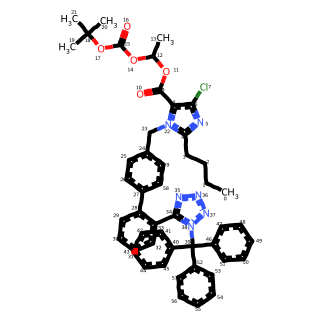 CCCCc1nc(Cl)c(C(=O)OC(C)OC(=O)OC(C)(C)C)n1Cc1ccc(-c2ccccc2-c2nnnn2C(c2ccccc2)(c2ccccc2)c2ccccc2)cc1